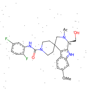 COc1ccc2c3c([nH]c2c1)[C@H](CO)N(C(C)=O)CC31CCN(C(=O)Nc2cc(F)ccc2F)CC1